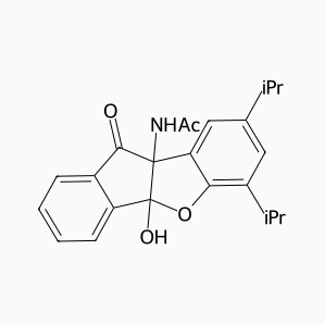 CC(=O)NC12C(=O)c3ccccc3C1(O)Oc1c(C(C)C)cc(C(C)C)cc12